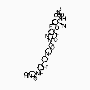 CCN(C)S(=O)(=O)Nc1ccc(F)c(Oc2ccc3ncn([C@H]4COC5(CCN(C6CCC(c7ccc(NC8CCC(=O)NC8=O)cc7F)CC6)CC5)C4)c(=O)c3c2F)c1C#N